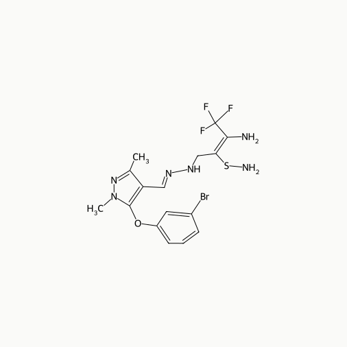 Cc1nn(C)c(Oc2cccc(Br)c2)c1/C=N/NC/C(SN)=C(/N)C(F)(F)F